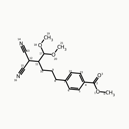 COC(=O)c1ccc(CCCC(C(C#N)C#N)C(OC)OC)cc1